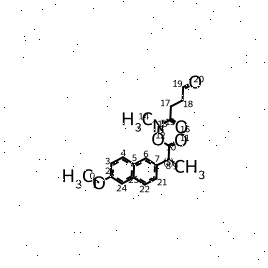 COc1ccc2cc([C@H](C)C(=O)ON(C)C(=O)CCC=O)ccc2c1